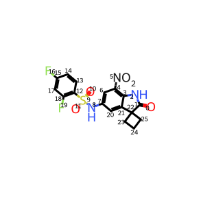 O=C1Nc2c([N+](=O)[O-])cc(NS(=O)(=O)c3ccc(F)cc3F)cc2C12CCC2